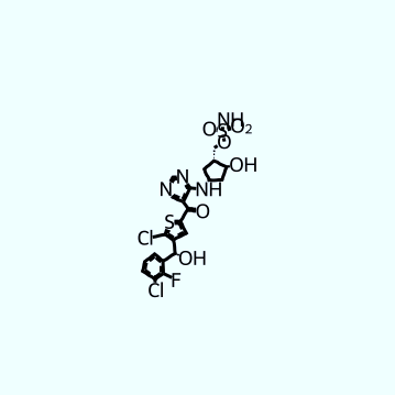 NS(=O)(=O)OC[C@H]1C[C@@H](Nc2ncncc2C(=O)c2cc([C@H](O)c3cccc(Cl)c3F)c(Cl)s2)C[C@@H]1O